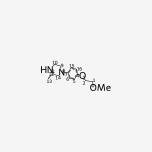 COCCOc1ccc(N2CCN[C@H](C)C2)cc1